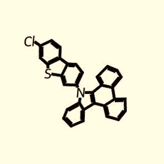 Clc1ccc2c(c1)sc1cc(-n3c4ccccc4c4c5ccccc5c5ccccc5c43)ccc12